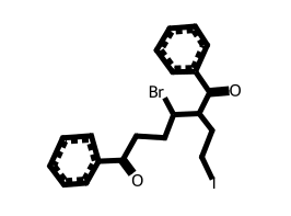 O=C(CCC(Br)C(CCI)C(=O)c1ccccc1)c1ccccc1